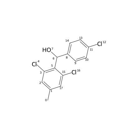 Cc1cc(Cl)c(C(O)c2ccc(Cl)cc2)c(Cl)c1